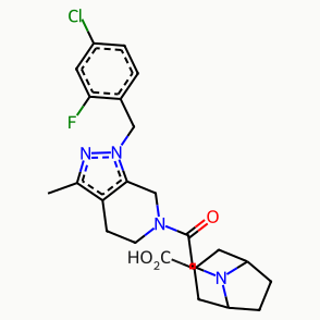 Cc1nn(Cc2ccc(Cl)cc2F)c2c1CCN(C(=O)CN1C3CCC1CC(C(=O)O)C3)C2